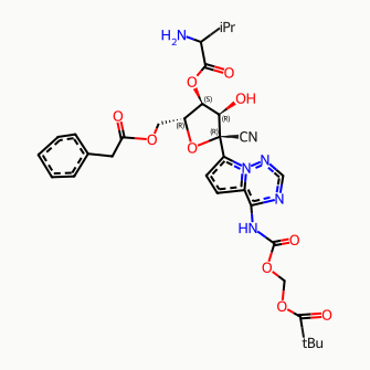 CC(C)C(N)C(=O)O[C@H]1[C@@H](O)[C@](C#N)(c2ccc3c(NC(=O)OCOC(=O)C(C)(C)C)ncnn23)O[C@@H]1COC(=O)Cc1ccccc1